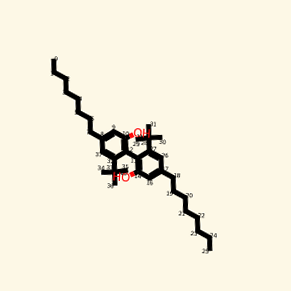 CCCCCCCCc1cc(O)c(-c2c(O)cc(CCCCCCCC)cc2C(C)(C)C)c(C(C)(C)C)c1